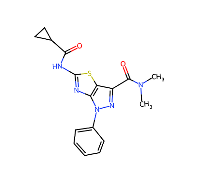 CN(C)C(=O)c1nn(-c2ccccc2)c2nc(NC(=O)C3CC3)sc12